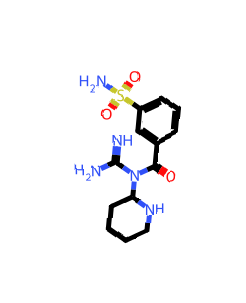 N=C(N)N(C(=O)c1cccc(S(N)(=O)=O)c1)C1CCCCN1